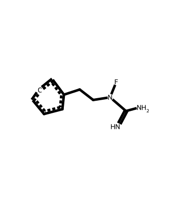 N=C(N)N(F)CCc1ccccc1